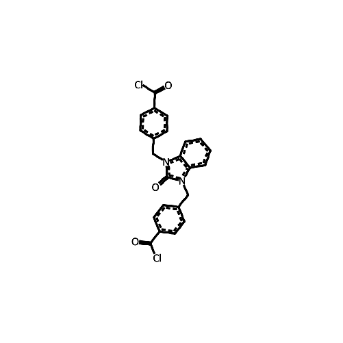 O=C(Cl)c1ccc(Cn2c(=O)n(Cc3ccc(C(=O)Cl)cc3)c3ccccc32)cc1